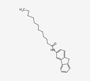 CCCCCCCCCCCC(=O)Nc1ccc2c(c1)-c1ccccc1C2